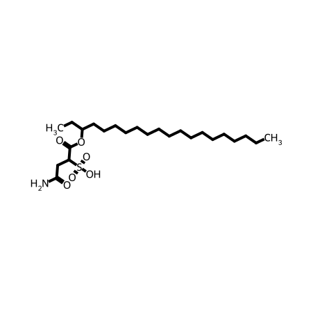 CCCCCCCCCCCCCCCCCC(CC)OC(=O)C(CC(N)=O)S(=O)(=O)O